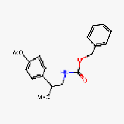 COC(CNC(=O)OCc1ccccc1)c1ccc(OC(C)=O)cc1